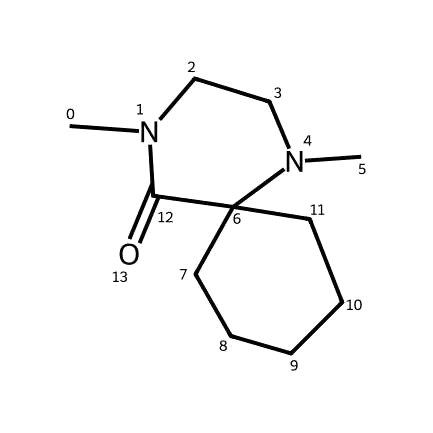 CN1CCN(C)C2(CCCCC2)C1=O